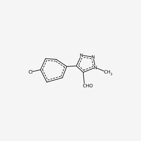 Cn1nnc(-c2ccc(Cl)cc2)c1C=O